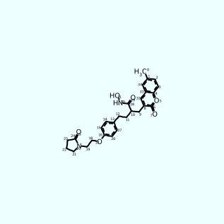 Cc1ccc2oc(=O)c(CC(CCc3ccc(OCCN4CCCC4=O)cc3)C(=O)NO)cc2c1